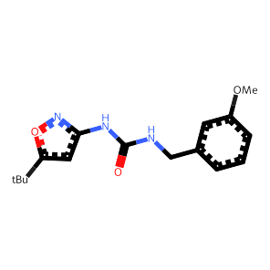 COc1cccc(CNC(=O)Nc2cc(C(C)(C)C)on2)c1